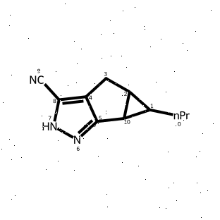 CCCC1C2Cc3c(n[nH]c3C#N)C12